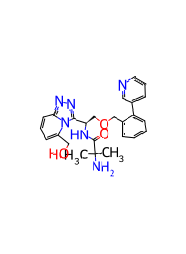 CC(C)(N)C(=O)N[C@H](COCc1ccccc1-c1cccnc1)c1nnc2cccc(CO)n12